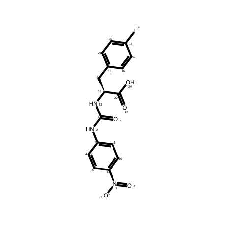 O=C(Nc1ccc([N+](=O)[O-])cc1)N[C@@H](Cc1ccc(I)cc1)C(=O)O